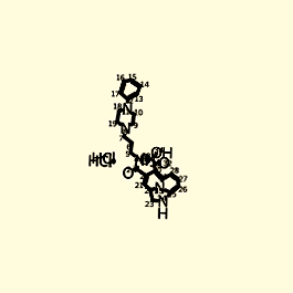 Cl.Cl.O=C(NCCCN1CCN(c2ccccc2)CC1)C1=CC2CNC3=CC=CC(=C1S(=O)(=O)O)N32